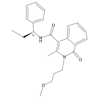 CC[C@H](NC(=O)c1c(C)n(CCCOC)c(=O)c2ccccc12)c1ccccc1